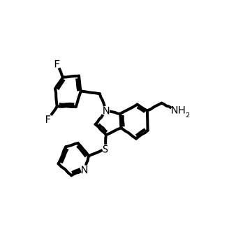 NCc1ccc2c(Sc3ccccn3)cn(Cc3cc(F)cc(F)c3)c2c1